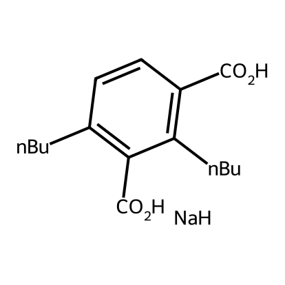 CCCCc1ccc(C(=O)O)c(CCCC)c1C(=O)O.[NaH]